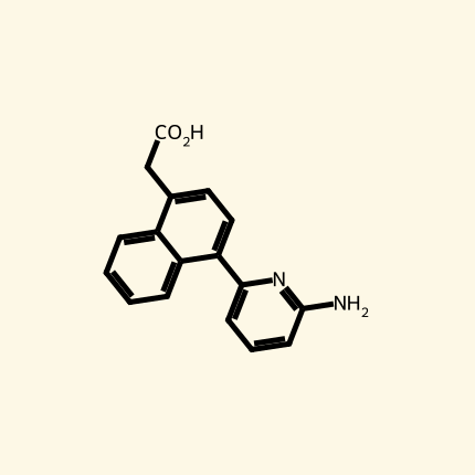 Nc1cccc(-c2ccc(CC(=O)O)c3ccccc23)n1